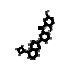 Fc1ccc(F)c(Nc2cc(-c3ncc4c(C5CCC5)cncc4n3)ccn2)n1